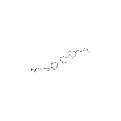 CCCCOc1ccc(C2CCC(C3CCC(CCC)CC3)CC2)cc1